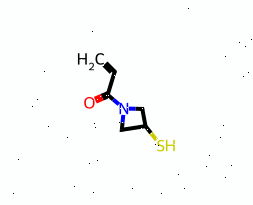 C=CC(=O)N1CC(S)C1